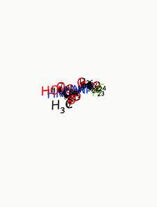 COC1C[C@@H](NC(=O)O)CO[C@@H]1C(=O)NNC(=O)C1CC(OC(F)(F)F)C1